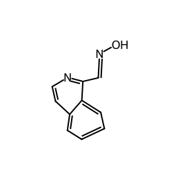 ON=Cc1nccc2ccccc12